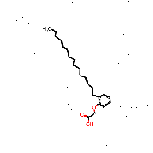 CCCCCCCCCCCCCCCc1ccccc1OCC(=O)O